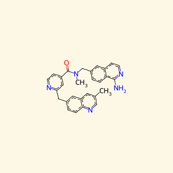 Cc1cnc2ccc(Cc3cc(C(=O)N(C)Cc4ccc5c(N)nccc5c4)ccn3)cc2c1